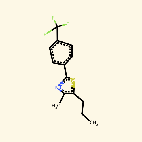 CCCc1sc(-c2ccc(C(F)(F)F)cc2)nc1C